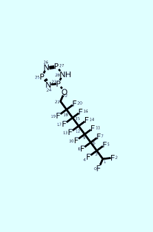 FC(F)C(F)(F)C(F)(F)C(F)(F)C(F)(F)C(F)(F)C(F)(F)COP1N=PN=PN1